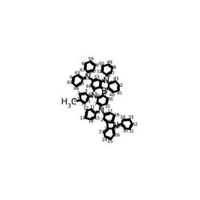 Cc1ccc(N2c3cc(N(c4ccccc4)c4ccc5c(c4)c4ccccc4n5-c4ccccc4)ccc3B3c4ccccc4N(c4ccccc4)c4cc(N(c5ccccc5)c5ccccc5)cc2c43)cc1